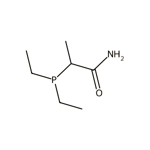 CCP(CC)C(C)C(N)=O